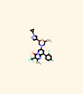 Cc1nc2c(-c3ccc(F)cc3F)cc(N3CC(C)OC(c4cnn(C5CC5)c4)C3)cn2c(=O)c1C(F)(F)F